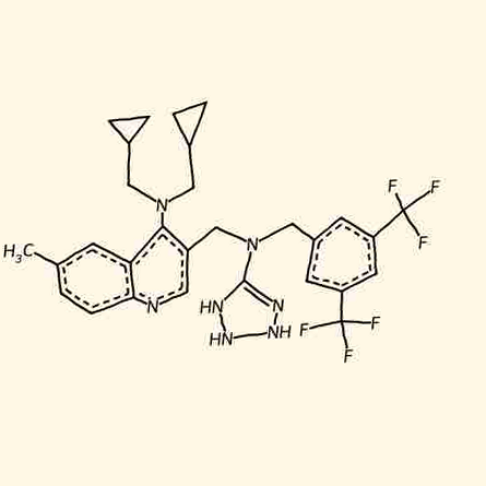 Cc1ccc2ncc(CN(Cc3cc(C(F)(F)F)cc(C(F)(F)F)c3)C3=NNNN3)c(N(CC3CC3)CC3CC3)c2c1